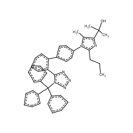 CCCc1nc(C(C)(C)O)c(C)n1-c1ccc(-c2ccccc2-c2nnnn2C(c2ccccc2)(c2ccccc2)c2ccccc2)cc1